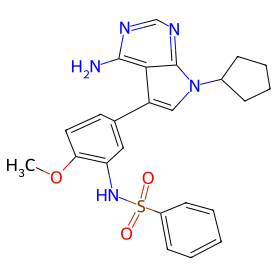 COc1ccc(-c2cn(C3CCCC3)c3ncnc(N)c23)cc1NS(=O)(=O)c1ccccc1